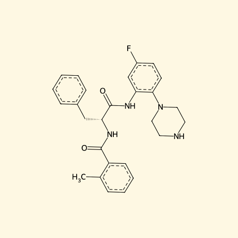 Cc1ccccc1C(=O)N[C@H](Cc1ccccc1)C(=O)Nc1cc(F)ccc1N1CCNCC1